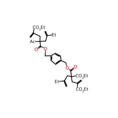 C=C(CC)CC(CC(=C)C(=O)OCC)(C(C)=O)C(=O)OCc1ccc(COC(=O)C(CC(=C)CC)(CC(=C)C(=O)OCC)C(=O)OCC)cc1